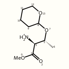 COC(=O)[C@@H](N)[C@@H](C)OC1CCCCO1